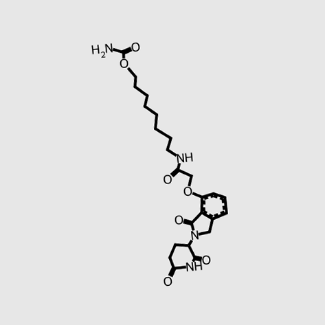 NC(=O)OCCCCCCCCNC(=O)COc1cccc2c1C(=O)N(C1CCC(=O)NC1=O)C2